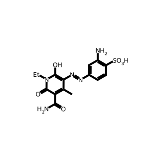 CCn1c(O)c(N=Nc2ccc(S(=O)(=O)O)c(N)c2)c(C)c(C(N)=O)c1=O